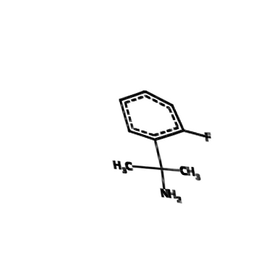 CC(C)(N)c1ccccc1F